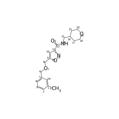 Cc1cccc(COCc2cc(C(=O)NCC3CCOCC3)no2)c1